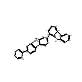 c1ccc(-c2ccc3c(c2)[nH]c2cc(-c4cccc5c4oc4ccccc45)ccc23)cc1